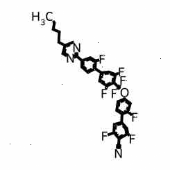 CCCCCc1cnc(-c2ccc(-c3cc(F)c(C(F)(F)Oc4ccc(-c5cc(F)c(C#N)c(F)c5)c(F)c4)c(F)c3)c(F)c2)nc1